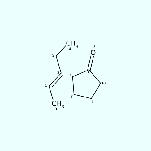 CC=CCC.O=C1CCCC1